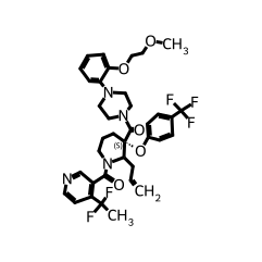 C=CCC1N(C(=O)c2cnccc2C(C)(F)F)CCC[C@@]1(Oc1ccc(C(F)(F)F)cc1)C(=O)N1CCN(c2ccccc2OCCOC)CC1